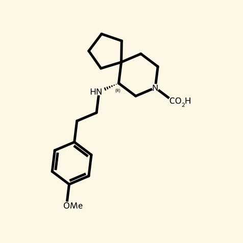 COc1ccc(CCN[C@H]2CN(C(=O)O)CCC23CCCC3)cc1